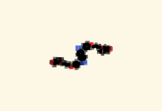 CC1(COCCCCOc2ccc(Nc3ccc4cc(Nc5ccc(OCCCCOCC6(C)COC6)cc5)ccc4c3)cc2)COC1